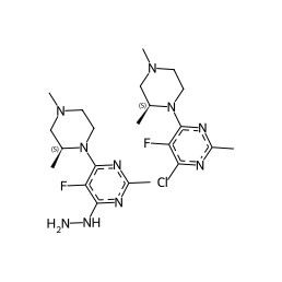 Cc1nc(Cl)c(F)c(N2CCN(C)C[C@@H]2C)n1.Cc1nc(NN)c(F)c(N2CCN(C)C[C@@H]2C)n1